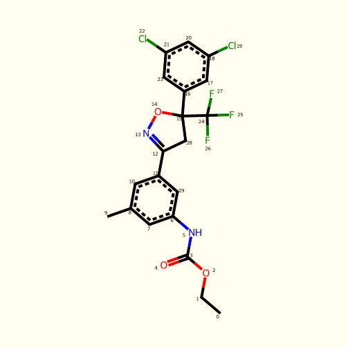 CCOC(=O)Nc1cc(C)cc(C2=NOC(c3cc(Cl)cc(Cl)c3)(C(F)(F)F)C2)c1